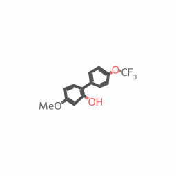 COc1ccc(-c2ccc(OC(F)(F)F)cc2)c(O)c1